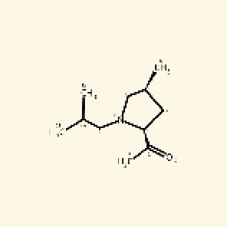 CC(=O)[C@@H]1C[C@H](C)CN1CC(C)C